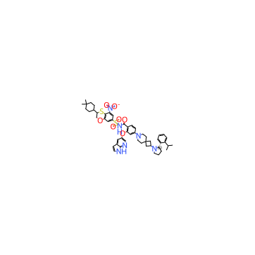 CC(C)c1ccccc1[C@@H]1CCCN1C1CC2(CCN(c3ccc(C(=O)NS(=O)(=O)c4cc5c(c([N+](=O)[O-])c4)SC(C4CCC(C)(C)CC4)CO5)c(Oc4cnc5[nH]ccc5c4)c3)CC2)C1